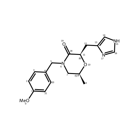 COc1ccc(CN2C[C@H](C)O[C@H](Cc3c[nH]cn3)C2=O)cc1